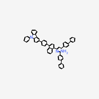 N/C(=N\C(=C/Cc1ccc(-c2ccccc2)cc1)c1ccc(-c2ccc(-c3ccc4c(c3)c3ccccc3n4-c3ccccc3)cc2)c2ccccc12)c1ccc(-c2ccccc2)cc1